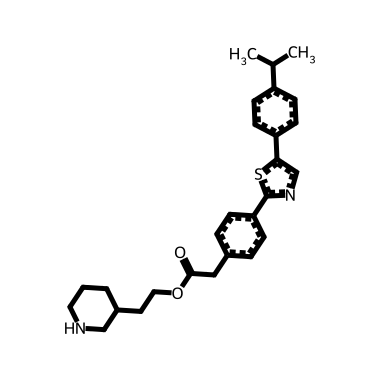 CC(C)c1ccc(-c2cnc(-c3ccc(CC(=O)OCCC4CCCNC4)cc3)s2)cc1